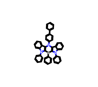 c1ccc(B2c3c(c4ccccc4n3-c3ccccc3)N(c3ccc(-c4ccccc4)cc3)c3c2n(-c2ccccc2)c2ccccc32)cc1